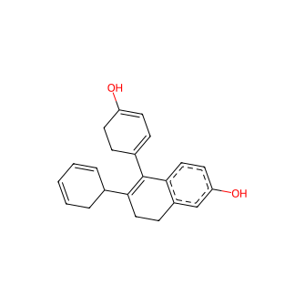 OC1=CC=C(C2=C(C3C=CC=CC3)CCc3cc(O)ccc32)CC1